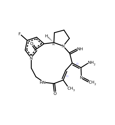 C=N/C(N)=C1\C=C(/C)C(=O)NCCn2cc(F)cc(c2=O)[C@H]2CCCN2C1=N